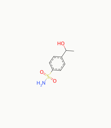 CC(O)c1ccc(S(N)(=O)=O)cc1